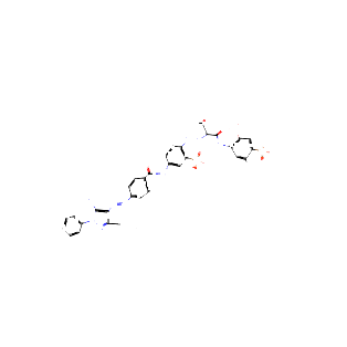 COc1cc(S(=O)(=O)O)c(C)cc1NC(=O)C(/N=N/c1ccc(NC(=O)c2ccc(/N=N/c3c(C)nn(-c4ccccc4)c3N)cc2)cc1S(=O)(=O)O)C(C)=O